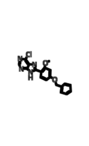 COc1cc(OCc2ccccc2)ccc1-c1nc2c(Cl)ncnc2[nH]1